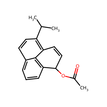 CC(=O)OC1C=Cc2c(C(C)C)ccc3cccc1c23